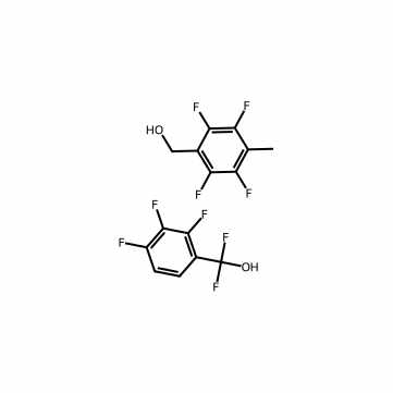 Cc1c(F)c(F)c(CO)c(F)c1F.OC(F)(F)c1ccc(F)c(F)c1F